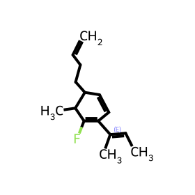 C=CCCC1C=CC(/C(C)=C/C)=C(F)C1C